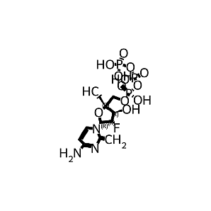 C#C[C@]1(COP(=O)(O)OP(=O)(O)OP(=O)(O)O)O[C@@H](N2C=CC(N)=NC2=C)[C@H](F)[C@@H]1O